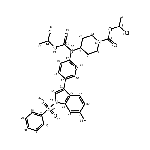 CC(Cl)OC(=O)N1CCC(N(C(=O)OC(C)Cl)c2ccc(-c3cn(S(=O)(=O)c4ccccc4)c4cc(F)ccc34)cn2)CC1